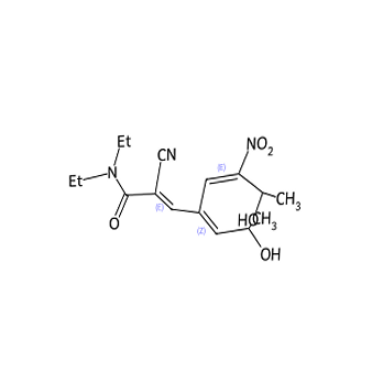 CCN(CC)C(=O)/C(C#N)=C/C(=C/C(C)O)/C=C(\C(C)O)[N+](=O)[O-]